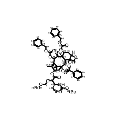 CCCCOCOC(C(=O)O[C@H]1C[C@@]2(O)[C@@H](OC(=O)c3ccccc3)[C@@H]3[C@]4(O)CO[C@@H]4C[C@H](OC(=O)OCc4ccccc4)[C@@]3(C)C(=O)C(OC(=O)OCc3ccccc3)C(=C1C)C2(C)C)[C@H](CC(C)C)NC(=O)OC(C)(C)C